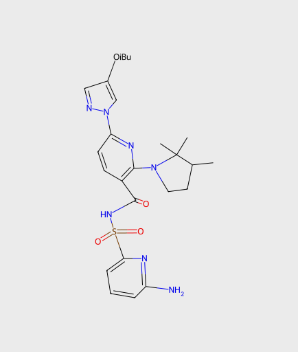 CC(C)COc1cnn(-c2ccc(C(=O)NS(=O)(=O)c3cccc(N)n3)c(N3CCC(C)C3(C)C)n2)c1